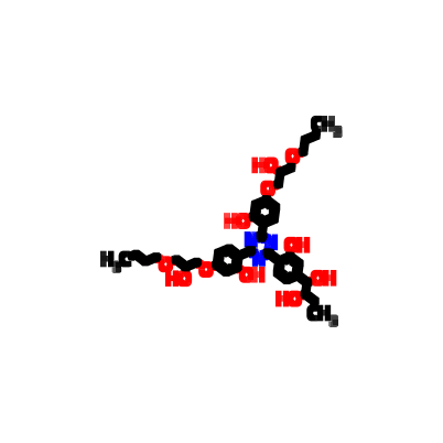 CCCCOCC(O)COc1ccc(-c2nc(-c3ccc(OCC(O)COCCCC)cc3O)nc(-c3ccc(C(O)C(O)CC)cc3O)n2)c(O)c1